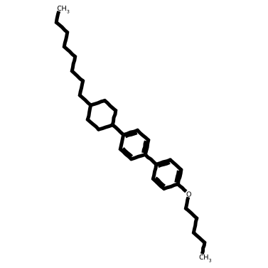 CCCCCCCCC1CCC(c2ccc(-c3ccc(OCCCCC)cc3)cc2)CC1